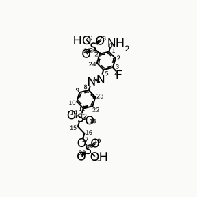 Nc1cc(F)c(/N=N/c2ccc(S(=O)(=O)CCOS(=O)(=O)O)cc2)cc1S(=O)(=O)O